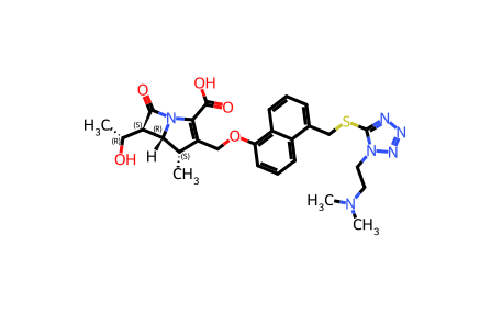 C[C@@H](O)[C@H]1C(=O)N2C(C(=O)O)=C(COc3cccc4c(CSc5nnnn5CCN(C)C)cccc34)[C@H](C)[C@H]12